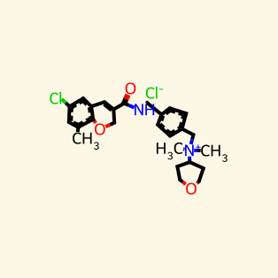 Cc1cc(Cl)cc2c1OCC(C(=O)NCc1ccc(C[N+](C)(C)C3CCOCC3)cc1)=C2.[Cl-]